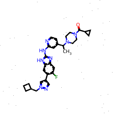 CC(c1ccnc(Nc2nc3cc(F)c(-c4cnn(CC5CCC5)c4)cc3[nH]2)c1)N1CCN(C(=O)C2CC2)CC1